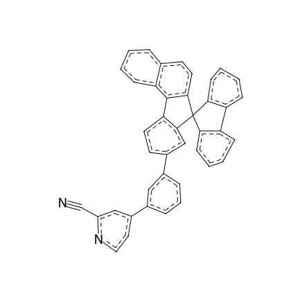 N#Cc1cc(-c2cccc(-c3ccc4c(c3)C3(c5ccccc5-c5ccccc53)c3ccc5ccccc5c3-4)c2)ccn1